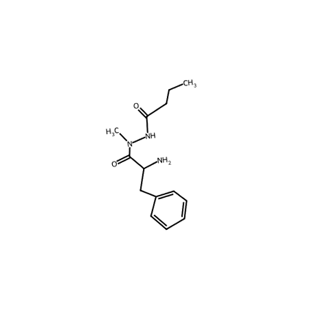 CCCC(=O)NN(C)C(=O)C(N)Cc1ccccc1